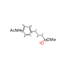 COC(=O)CCCc1ccc(NC(C)=O)cc1